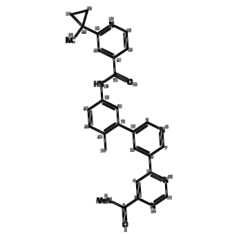 CNC(=O)c1cc(-c2cncc(-c3cc(NC(=O)c4ccnc(C5(C#N)CC5)c4)ccc3C)c2)ncn1